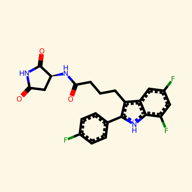 O=C1C[C@H](NC(=O)CCCc2c(-c3ccc(F)cc3)[nH]c3c(F)cc(F)cc23)C(=O)N1